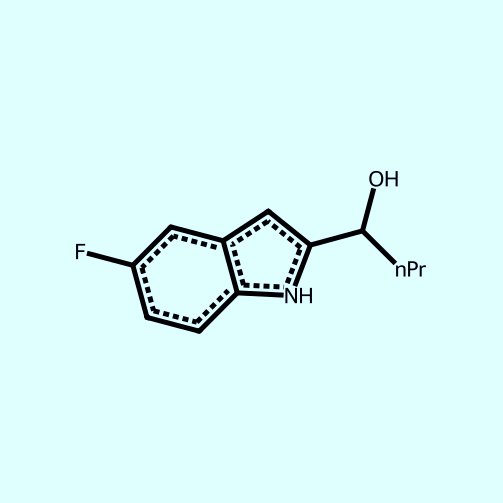 CCCC(O)c1cc2cc(F)ccc2[nH]1